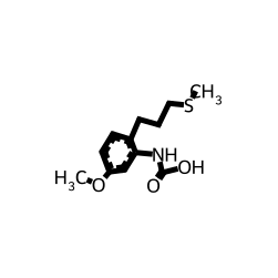 COc1ccc(CCCSC)c(NC(=O)O)c1